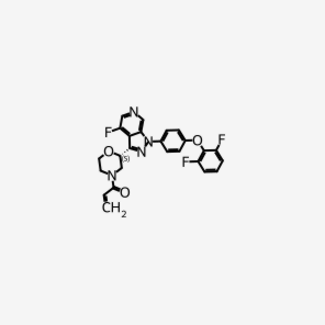 C=CC(=O)N1CCO[C@H](c2nn(-c3ccc(Oc4c(F)cccc4F)cc3)c3cncc(F)c23)C1